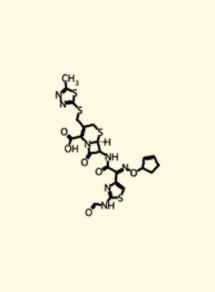 Cc1nnc(SCC2=C(C(=O)O)N3C(=O)C(NC(=O)C(=NOC4C=CCC4)c4csc(NC=O)n4)[C@@H]3SC2)s1